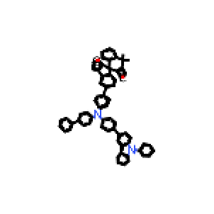 CC1(C)c2ccccc2C2(c3ccccc3-c3cc(-c4ccc(N(c5ccc(-c6ccccc6)cc5)c5ccc(-c6ccc7c(c6)c6ccccc6n7-c6ccccc6)cc5)cc4)ccc32)c2ccccc21